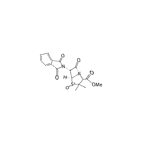 COC(=O)C1N2C(=O)[C@@H](N3C(=O)c4ccccc4C3=O)[C@@H]2[S+]([O-])C1(C)C